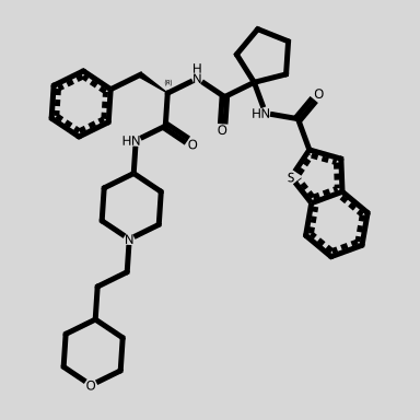 O=C(NC1(C(=O)N[C@H](Cc2ccccc2)C(=O)NC2CCN(CCC3CCOCC3)CC2)CCCC1)c1cc2ccccc2s1